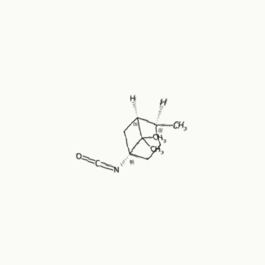 C[C@H]1CC[C@@]2(N=C=O)C[C@@H]1C2(C)C